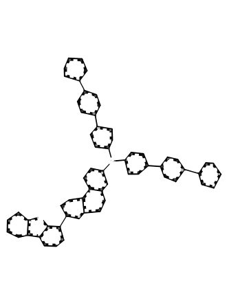 c1ccc(-c2ccc(-c3ccc(N(c4ccc(-c5ccc(-c6ccccc6)cc5)cc4)c4ccc5c(ccc6cc(-c7cccc8c7oc7ccccc78)ccc65)c4)cc3)cc2)cc1